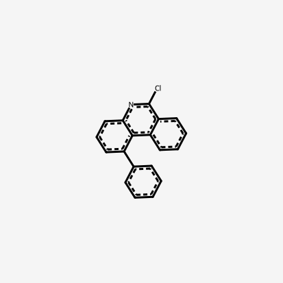 Clc1nc2cccc(-c3ccccc3)c2c2ccccc12